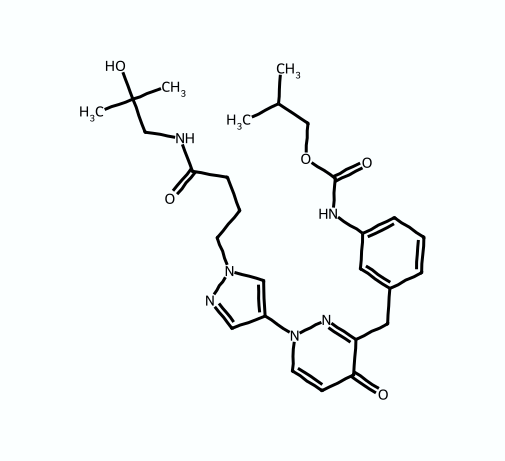 CC(C)COC(=O)Nc1cccc(Cc2nn(-c3cnn(CCCC(=O)NCC(C)(C)O)c3)ccc2=O)c1